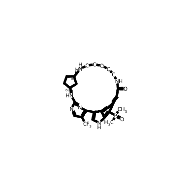 CP(C)(=O)c1c2ccc3c(c[nH]c13)-c1nc(ncc1C(F)(F)F)N[C@H]1CC[C@@H](C1)NCCOCCNC2=O